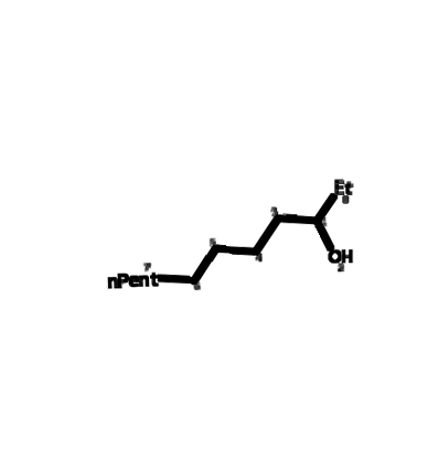 [CH2]CC(O)CCCCCCCCC